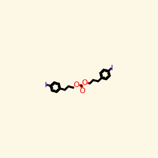 O=C(OCCCc1ccc(I)cc1)OCCCc1ccc(I)cc1